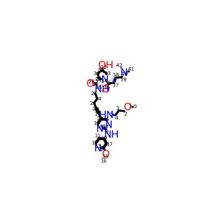 COCCCNc1nc(Nc2ccnc(OC)c2)ncc1C#CCCCNC(=O)[C@@H]1C[C@H](O)CN1C(=O)/C=C/CN(C)C